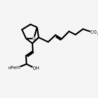 CCCCCC(O)C=CC1C2CCC(O2)C1CC=CCCCC(=O)O